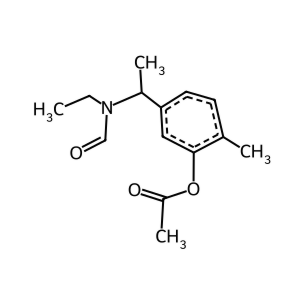 CCN(C=O)C(C)c1ccc(C)c(OC(C)=O)c1